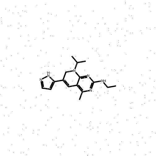 CCNc1nc(C)c2c(n1)N(C(C)C)CC(c1ccn[nH]1)=C2